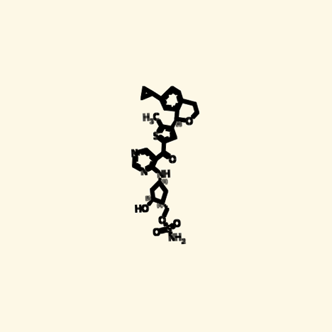 Cc1sc(C(=O)c2cncnc2N[C@@H]2C[C@H](COS(N)(=O)=O)[C@@H](O)C2)cc1[C@@H]1OCCc2ccc(C3CC3)cc21